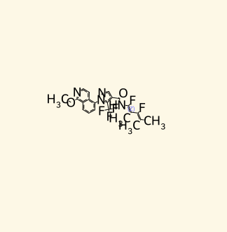 COc1nccc2c(-n3ncc(C(=O)N/C(F)=C(\C)C(F)=C(C)C)c3C(F)(F)F)cccc12